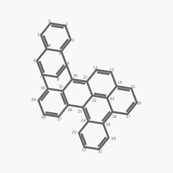 c1ccc2c(c1)cc1cc2c2c3ccc4cccc5c6ccccc6c(c6cccc1c62)c3c45